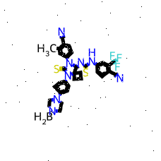 BN1CCN(c2ccc(N3C(=S)N(c4ccc(C#N)c(C)c4)/C(=N/C(=S)Nc4ccc(C#N)c(C(F)(F)F)c4)C34CCC4)cc2)CC1